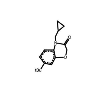 CC(C)(C)c1ccc2c(c1)OCC(=O)N2CC1CC1